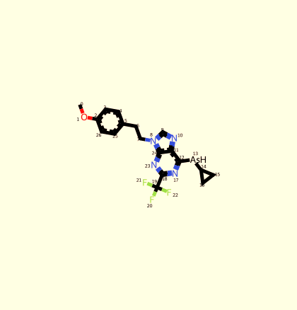 COc1ccc(CCn2cnc3c([AsH]C4CC4)nc(C(F)(F)F)nc32)cc1